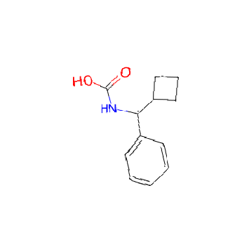 O=C(O)N[C](c1ccccc1)C1CCC1